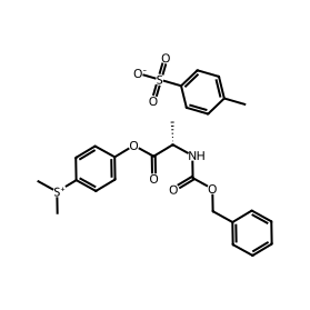 C[C@H](NC(=O)OCc1ccccc1)C(=O)Oc1ccc([S+](C)C)cc1.Cc1ccc(S(=O)(=O)[O-])cc1